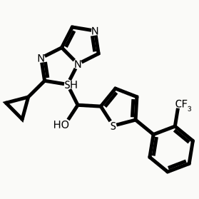 OC(c1ccc(-c2ccccc2C(F)(F)F)s1)[SH]1C(C2CC2)=Nc2cncn21